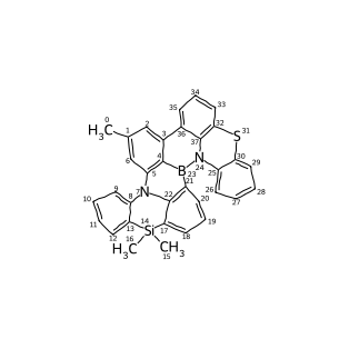 Cc1cc2c3c(c1)N1c4ccccc4[Si](C)(C)c4cccc(c41)B3N1c3ccccc3Sc3cccc-2c31